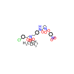 CC(C)(C)OC(=O)N(CCc1ccc(NC(=O)C2CCCN2C(=O)Oc2ccc([N+](=O)[O-])cc2)cc1)CC(O)c1cccc(Cl)c1